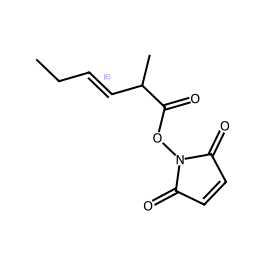 CC/C=C/C(C)C(=O)ON1C(=O)C=CC1=O